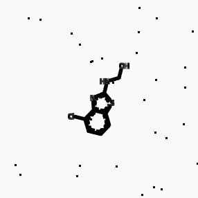 OCNc1nc2c(Cl)cccc2s1